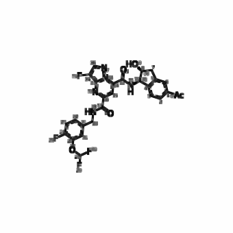 CC(=O)c1ccc2c(c1)C[C@H](O)[C@@H]2NC(=O)c1cc(C(=O)NCc2ccc(F)c(OC(F)F)c2)nc2c(F)cnn12